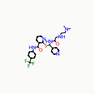 CN(C)CCNCC(=O)NC(Sc1ncccc1C(=O)Nc1ccc(C(F)(F)F)cc1)c1ccncc1